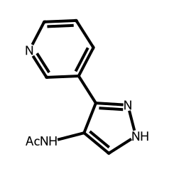 CC(=O)Nc1c[nH]nc1-c1cccnc1